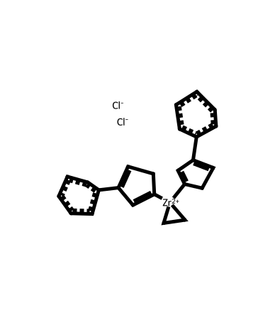 C1=C(c2ccccc2)C=[C]([Zr+2]2([C]3=CC(c4ccccc4)=CC3)[CH2][CH2]2)C1.[Cl-].[Cl-]